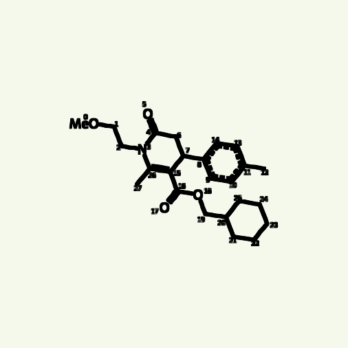 COCCN1C(=O)CC(c2ccc(C)cc2)C(C(=O)OCC2CCCCC2)=C1C